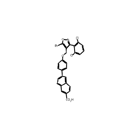 CC(C)c1onc(-c2c(Cl)cccc2Cl)c1COc1ccc(-c2ccc3cc(C(=O)O)ccc3c2)cc1